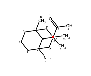 CC(C(=O)O)C1C2(C)CCCC1(C)CN(C)C2